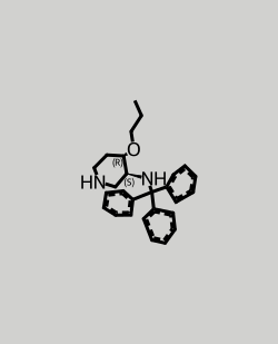 CCCO[C@@H]1CCNC[C@@H]1NC(c1ccccc1)(c1ccccc1)c1ccccc1